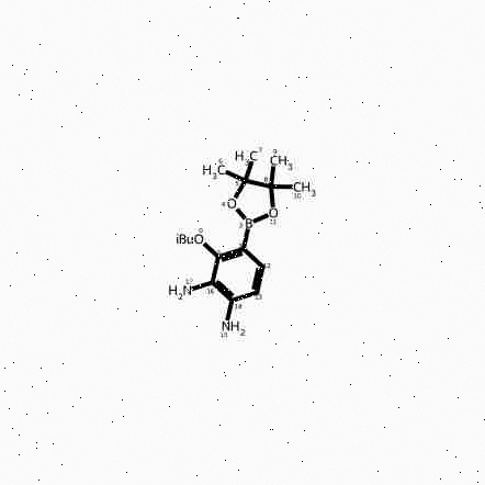 CC(C)COc1c(B2OC(C)(C)C(C)(C)O2)ccc(N)c1N